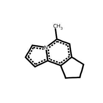 Cc1cc2c(c3cccn13)CCC2